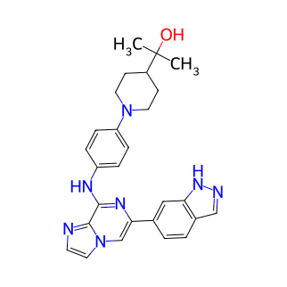 CC(C)(O)C1CCN(c2ccc(Nc3nc(-c4ccc5cn[nH]c5c4)cn4ccnc34)cc2)CC1